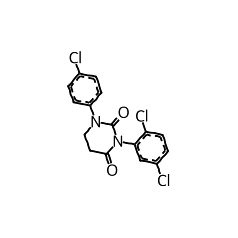 O=C1CCN(c2ccc(Cl)cc2)C(=O)N1c1cc(Cl)ccc1Cl